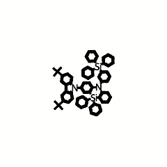 CC(C)(C)c1ccc2c(c1)c1cc(C(C)(C)C)ccc1n2-c1ccc2c(c1)[Si](c1ccccc1)(c1ccccc1)c1ccccc1N2c1cccc([Si](c2ccccc2)(c2ccccc2)c2ccccc2)c1